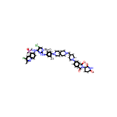 CCc1cc(Nc2ncc(Br)c(Nc3ccc4nc(C)c(F)cc4c3P(C)(C)=O)n2)c(OC)cc1N1CCC2(CCN(CC3CCN(c4ccc5c(c4)C(=O)N(C4CCC(=O)NC4=O)C5=O)CC3)CC2)CC1